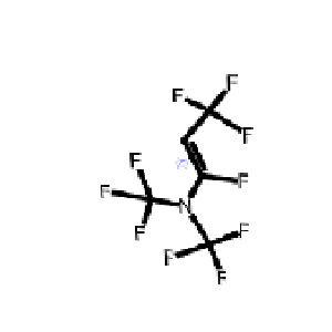 F/C(=C\C(F)(F)F)N(C(F)(F)F)C(F)(F)F